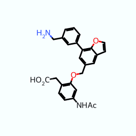 CC(=O)Nc1ccc(CC(=O)O)c(OCc2cc(-c3cccc(CN)c3)c3occc3c2)c1